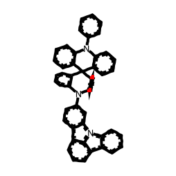 c1ccc(N2c3ccccc3C3(c4ccccc42)c2ccccc2N(c2ccc4c5cccc6c7ccccc7n(c4c2)c65)c2ccccc23)cc1